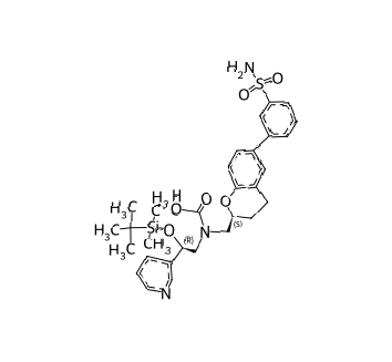 CC(C)(C)[Si](C)(C)O[C@@H](CN(C[C@@H]1CCc2cc(-c3cccc(S(N)(=O)=O)c3)ccc2O1)C(=O)O)c1cccnc1